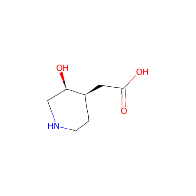 O=C(O)C[C@H]1CCNC[C@H]1O